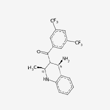 C[C@@H]1Nc2ccccc2[C@H](N)C1C(=O)c1cc(C(F)(F)F)cc(C(F)(F)F)c1